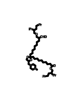 CC(C)CCC(COCC(C=O)CCCCCCCCC1(CCCCCCCCCC(=O)OCC(CCC(C)C)C(C)C)OCC(CN2CCN(C)CC2)O1)C(C)C